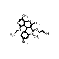 CCOc1ncc(C)c2c1C(c1ccc(N)cc1OC)C(C(=O)OCC=N)=C(C)N2